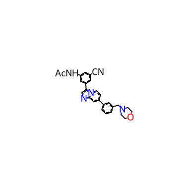 CC(=O)Nc1cc(C#N)cc(-c2cnc3cc(-c4cccc(CN5CCOCC5)c4)ccn23)c1